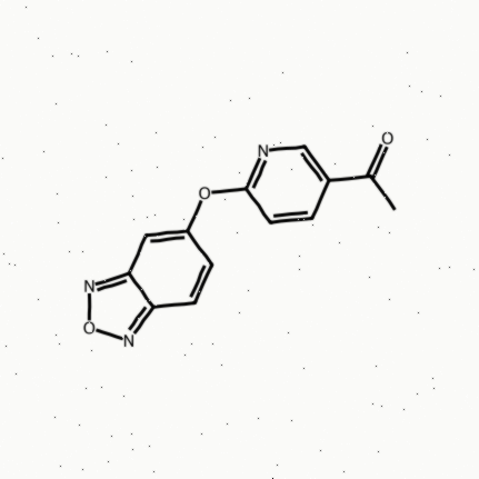 CC(=O)c1ccc(Oc2ccc3nonc3c2)nc1